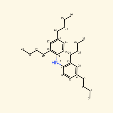 CCCCc1ccc(Nc2ccc(CCCC)cc2CCCC)c(CCCC)c1